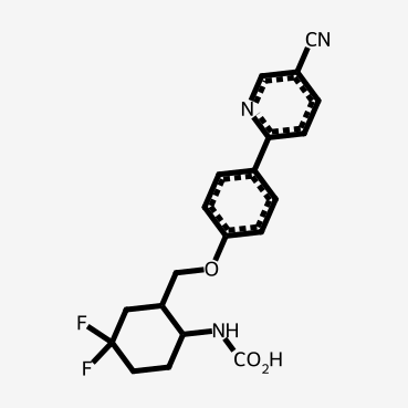 N#Cc1ccc(-c2ccc(OCC3CC(F)(F)CCC3NC(=O)O)cc2)nc1